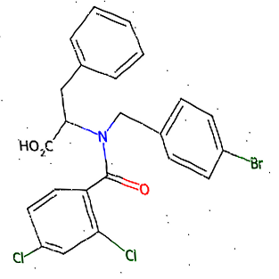 O=C(O)C(Cc1ccccc1)N(Cc1ccc(Br)cc1)C(=O)c1ccc(Cl)cc1Cl